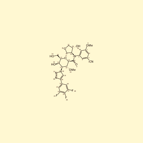 COc1cc(C#N)cc(N(C(=O)[C@@H]2O[C@H](CO)[C@H](O)[C@H](n3cc(-c4cc(F)c(F)c(F)c4)nn3)[C@H]2OC)[C@H]2COC[C@@H]2O)c1